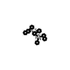 c1ccc(-c2nc(-c3cccc4ccccc34)nc(-c3ccc(-n4c5ccccc5c5cc6ccccc6cc54)c4sc5ccccc5c34)n2)cc1